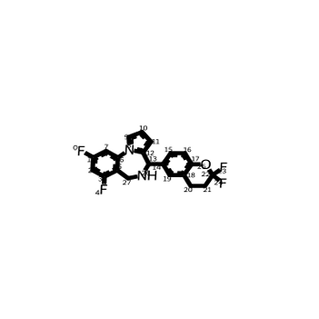 Fc1cc(F)c2c(c1)-n1cccc1C(c1ccc3c(c1)CCC(F)(F)O3)NC2